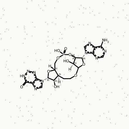 Nc1ncnc2c1ncn2[C@@H]1OC2OCC[C@H]3[C@@H](O)[C@H](n4cnc5c(=O)[nH]nnc54)O[C@@H]3COP(=O)(O)O[C@@H]1[C@@H]2O